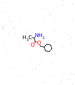 CC(N)C(=O)OCC1CCCCC1